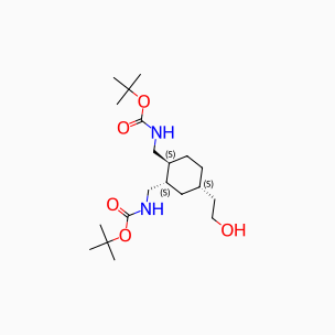 CC(C)(C)OC(=O)NC[C@H]1CC[C@H](CCO)C[C@@H]1CNC(=O)OC(C)(C)C